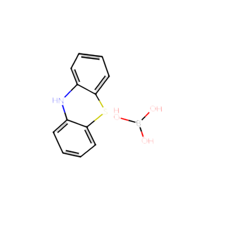 OB(O)O.c1ccc2c(c1)Nc1ccccc1S2